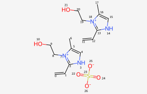 C=Cc1[nH]cc(C)[n+]1CCO.C=Cc1[nH]cc(C)[n+]1CCO.O=S(=O)([O-])[O-]